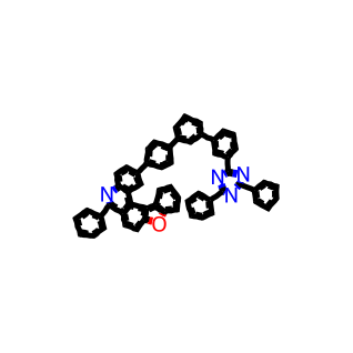 c1ccc(-c2nc(-c3ccccc3)nc(-c3cccc(-c4cccc(-c5ccc(-c6ccc7nc(-c8ccccc8)c8ccc9oc%10ccccc%10c9c8c7c6)cc5)c4)c3)n2)cc1